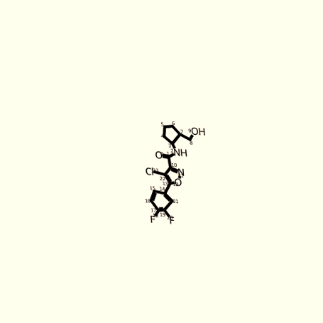 O=C(NC1CCCC1CO)c1noc(-c2ccc(F)c(F)c2)c1Cl